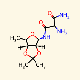 C[C@H]1O[C@@H](NC(=O)C(N)C(N)=O)[C@@H]2OC(C)(C)O[C@@H]21